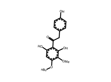 CCCCOc1cc(O)c(C(=O)Cc2ccc(O)cc2)c(O)c1OC